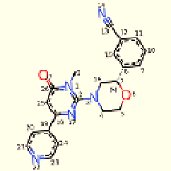 Cn1c(N2CCO[C@@H](c3cccc(C#N)c3)C2)nc(-c2ccncc2)cc1=O